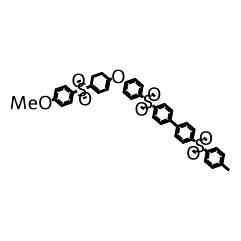 COc1ccc(S(=O)(=O)C2=CC=C(Oc3ccc(S(=O)(=O)c4ccc(-c5ccc(S(=O)(=O)c6ccc(C)cc6)cc5)cc4)cc3)CC2)cc1